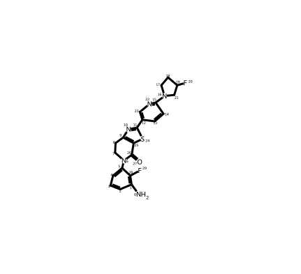 Nc1cccc(N2CCc3nc(-c4ccc(N5CCC(F)C5)nc4)sc3C2=O)c1F